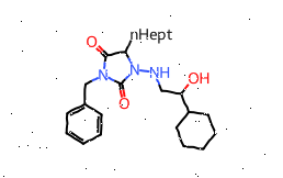 CCCCCCCC1C(=O)N(Cc2ccccc2)C(=O)N1NCC(O)C1CCCCC1